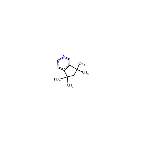 CC1(C)CC(C)(C)c2cnccc21